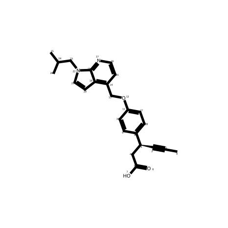 CC#C[C@@H](CC(=O)O)c1ccc(OCc2ccnc3c2ccn3CC(C)C)cc1